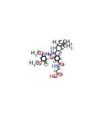 COc1cc(OC)c(NC(=O)NC(c2ccc(C(=O)NCCC(=O)O)cc2)C2CCC(C(C)(C)C)CC2)cc1Cl